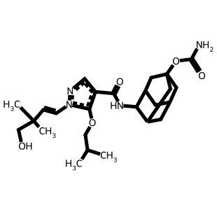 CC(C)COc1c(C(=O)NC2C3CC4CC2CC(OC(N)=O)(C4)C3)cnn1/C=C/C(C)(C)CO